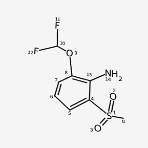 CS(=O)(=O)c1cccc(OC(F)F)c1N